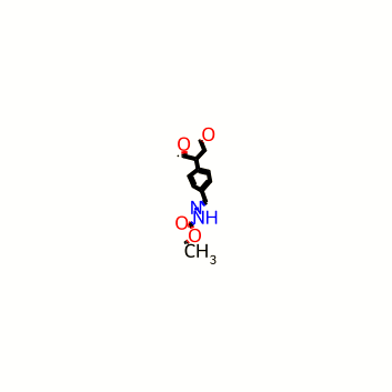 CCOC(=O)NN=Cc1ccc(C([C]=O)CC=O)cc1